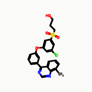 O=S(=O)(CCCO)c1cc(Cl)cc(Oc2cccc(-c3ncnc4c(C(F)(F)F)cccc34)c2)c1